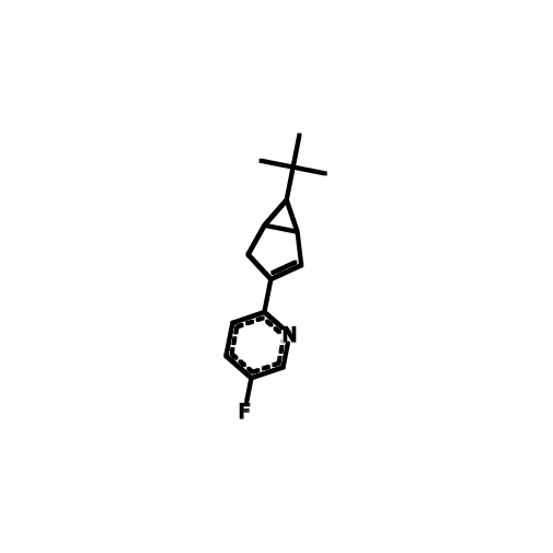 CC(C)(C)C1C2C=C(c3ccc(F)cn3)CC21